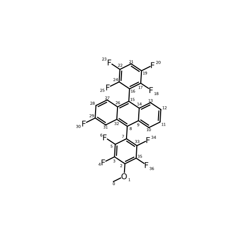 COc1c(F)c(F)c(-c2c3ccccc3c(-c3c(F)c(F)cc(F)c3F)c3ccc(F)cc23)c(F)c1F